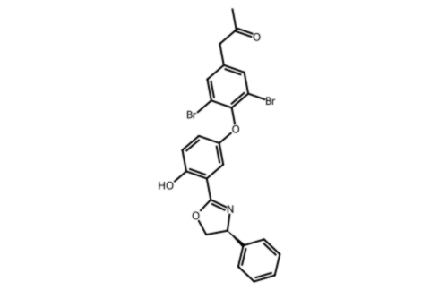 CC(=O)Cc1cc(Br)c(Oc2ccc(O)c(C3=N[C@@H](c4ccccc4)CO3)c2)c(Br)c1